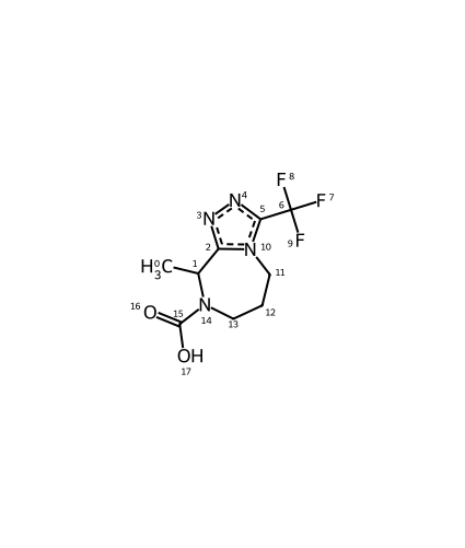 CC1c2nnc(C(F)(F)F)n2CCCN1C(=O)O